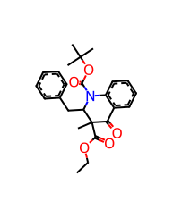 CCOC(=O)C1(C)C(=O)c2ccccc2N(C(=O)OC(C)(C)C)C1Cc1ccccc1